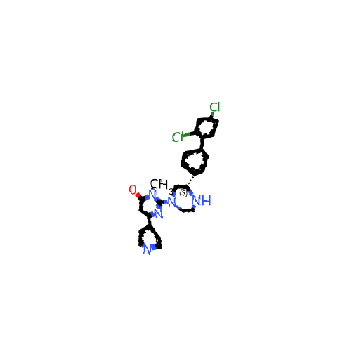 Cn1c(N2CCN[C@@H](c3ccc(-c4ccc(Cl)cc4Cl)cc3)C2)nc(-c2ccncc2)cc1=O